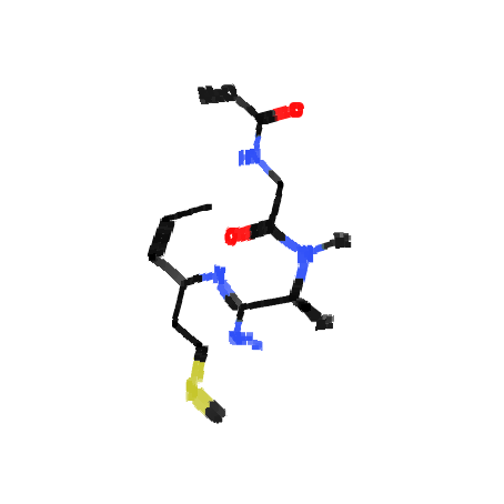 C=S=CCC(/C=C\C)/N=C(\N)[C@H](CC)N(CC)C(=O)CNC(=O)OC